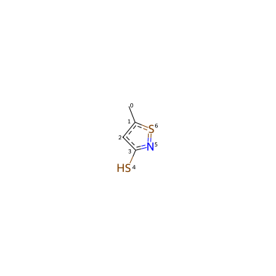 Cc1cc(S)ns1